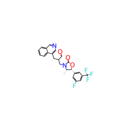 C[C@H]1[C@@H](c2cc(F)cc(C(F)(F)F)c2)OC(=O)N1CC(C=O)Cc1cncc2ccccc12